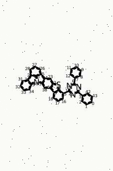 c1ccc(-c2nc(-c3ccccc3)nc(-c3cccc4c3sc3cc5c6cccc7c8ccccc8n(c5cc34)c76)n2)cc1